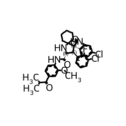 COc1cc(C(=O)C(C)C)ccc1NC(=O)[C@@H]1NC2(CCCCC2)[C@@]2(C(=O)Nc3cc(Cl)cc(F)c32)[C@H]1c1cccc(Cl)c1F